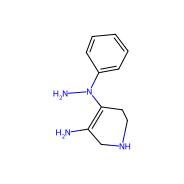 NC1=C(N(N)c2ccccc2)CCNC1